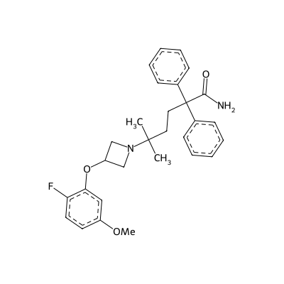 COc1ccc(F)c(OC2CN(C(C)(C)CCC(C(N)=O)(c3ccccc3)c3ccccc3)C2)c1